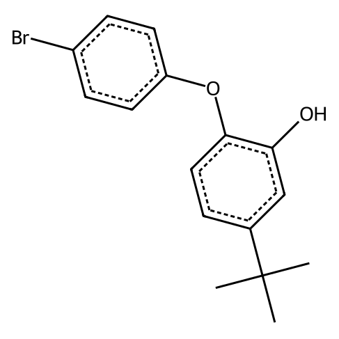 CC(C)(C)c1ccc(Oc2ccc(Br)cc2)c(O)c1